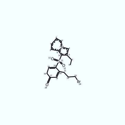 CCc1cn2ccccc2c1S(=O)(=O)C1=CCC(=O)C=C1CCCBr